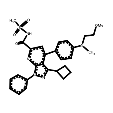 COCCN(C)c1ccc(-c2cc(C(=O)NS(C)(=O)=O)nc3c2c(C2CCC2)nn3-c2ccccc2)cc1